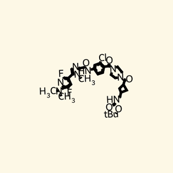 CN(C)c1nc(F)c(-c2cnc(C(=O)Nc3ccc(C(=O)N4CCN(C(=O)C5CC(CNC(=O)OC(C)(C)C)C5)CC4)c(Cl)c3)n2C)cc1F